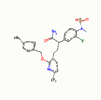 CCCCc1ccc(COc2nc(C(F)(F)F)ccc2CCC(C(N)=O)c2ccc(N(C)[SH](=O)=O)c(F)c2)cc1